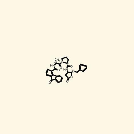 C[C@H](NC(=O)c1cccc2c1-c1ccccc1C2=O)C(=O)N1CCC[C@H]1C(=O)NC1CC(=O)OC1OCc1ccccc1